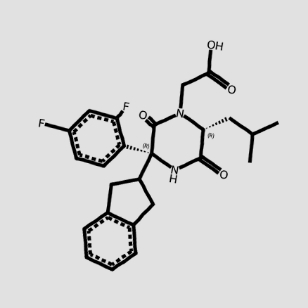 CC(C)C[C@@H]1C(=O)N[C@@](c2ccc(F)cc2F)(C2Cc3ccccc3C2)C(=O)N1CC(=O)O